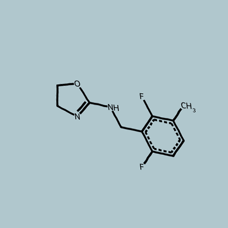 Cc1ccc(F)c(CNC2=NCCO2)c1F